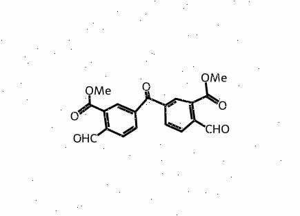 COC(=O)c1cc(C(=O)c2ccc(C=O)c(C(=O)OC)c2)ccc1C=O